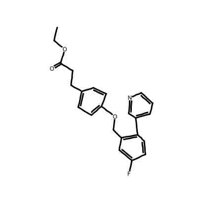 CCOC(=O)CCc1ccc(OCc2cc(F)ccc2-c2cccnc2)cc1